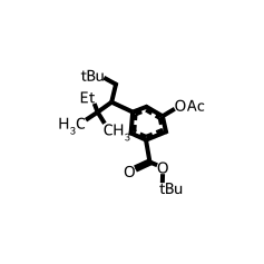 CCC(C)(C)C(CC(C)(C)C)c1cc(OC(C)=O)cc(C(=O)OC(C)(C)C)c1